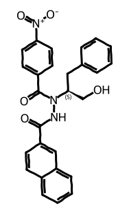 O=C(NN(C(=O)c1ccc([N+](=O)[O-])cc1)[C@H](CO)Cc1ccccc1)c1ccc2ccccc2c1